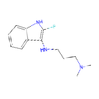 CN(C)CCCNc1c(F)[nH]c2ccccc12